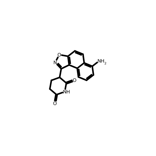 Nc1cccc2c1ccc1onc(C3CCC(=O)NC3=O)c12